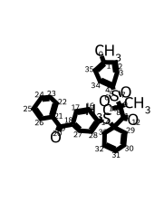 Cc1ccc(S(=O)(=O)C(C)(C)C(=O)C2(Sc3ccc(C(=O)c4ccccc4)cc3)C=CC=CC2)cc1